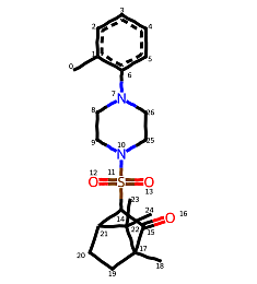 Cc1ccccc1N1CCN(S(=O)(=O)C2C(=O)C3(C)CCC2C3(C)C)CC1